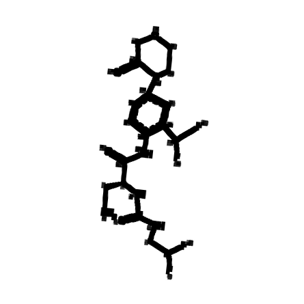 NC[C@H](NC(=O)NCC(F)F)C(=O)Nc1ccc(N2CCOCC2=O)cc1C(F)F